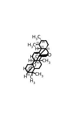 C[C@H]1[C@H](C)CC[C@@]23CC[C@]4(C)C(=CC[C@@H]5[C@]6(C)CC[C@H](OC2=O)C(C)(C)C6CC[C@]54C)[C@H]13